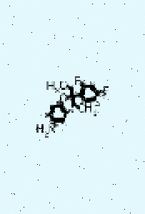 CCC(CC)(Oc1ccc(N)cc1)c1ccc(F)cc1F